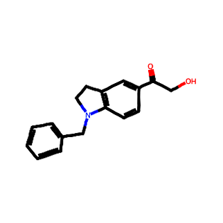 O=C(CO)c1ccc2c(c1)CCN2Cc1ccccc1